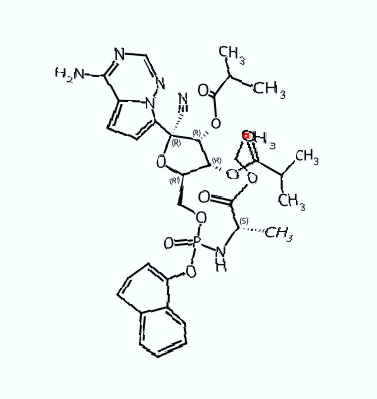 CCOC(=O)[C@H](C)NP(=O)(OC[C@H]1O[C@@](C#N)(c2ccc3c(N)ncnn23)[C@H](OC(=O)C(C)C)[C@@H]1OC(=O)C(C)C)Oc1cccc2ccccc12